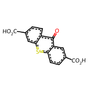 O=C(O)c1ccc2c(=O)c3cc(C(=O)O)ccc3sc2c1